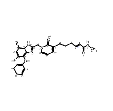 CNC(=O)/C=C/CCCc1cccn(Cc2nc3c(OC4=CCCC=C4)c(F)cc(F)c3[nH]2)c1=O